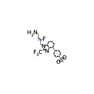 CS(=O)(=O)c1ccc(-c2cccc3c2nc(C(F)(F)F)n3C/C(F)=C/CN)cc1